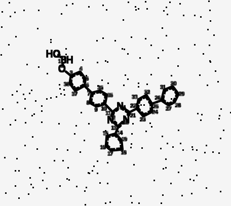 OBOc1ccc(-c2ccc(-c3nc(-c4ccccc4)nc(-c4ccc(-c5ccccc5)cc4)n3)cc2)cc1